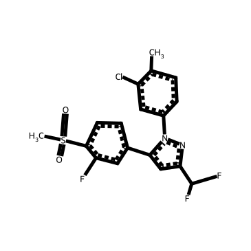 Cc1ccc(-n2nc(C(F)F)cc2-c2ccc(S(C)(=O)=O)c(F)c2)cc1Cl